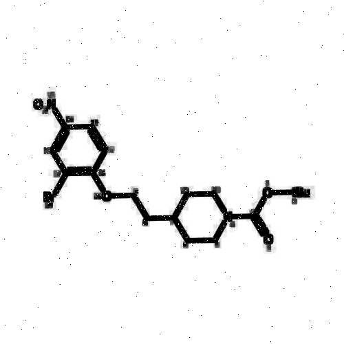 CC(C)(C)OC(=O)N1CCC(CCOc2ccc([N+](=O)[O-])cc2Br)CC1